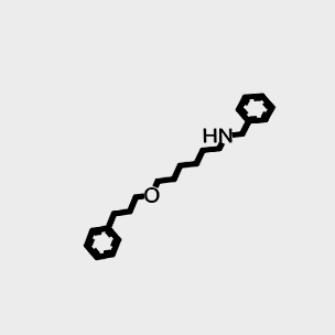 c1ccc(CCCOCCCCCCNCc2ccccc2)cc1